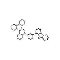 c1cc(-c2cc3c4ccccc4c4ccccc4c3c3ccccc23)cc(-c2cccc3c2oc2ccccc23)c1